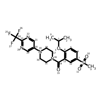 CC(C)Oc1ccc(S(C)(=O)=O)cc1C(=O)N1CCN(c2cnc(C(F)(F)F)nc2)CC1